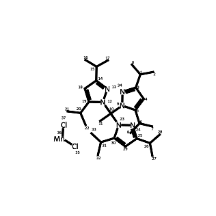 CC(C)c1cc(C(C)C)n(C(C)(n2nc(C(C)C)cc2C(C)C)n2nc(C(C)C)cc2C(C)C)n1.[Cl][Mn][Cl]